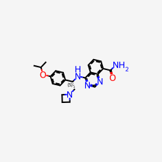 CC(C)Oc1ccc([C@@H](CN2CCC2)Nc2ncnc3c(C(N)=O)cccc23)cc1